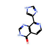 O=c1[nH]cnc2c(-c3c[nH]cn3)nccc12